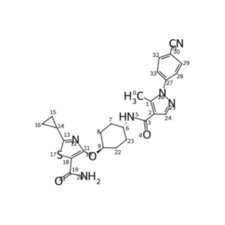 Cc1c(C(=O)N[C@H]2CC[C@H](Oc3nc(C4CC4)sc3C(N)=O)CC2)cnn1-c1ccc(C#N)cc1